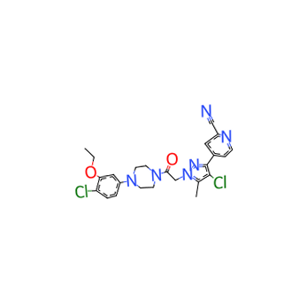 CCOc1cc(N2CCN(C(=O)Cn3nc(-c4ccnc(C#N)c4)c(Cl)c3C)CC2)ccc1Cl